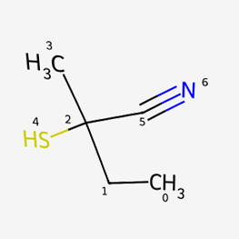 CCC(C)(S)C#N